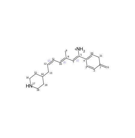 C=C1C=CC(/C(N)=C/C(C)=C/C=C\CC2CCNCC2)=CC1